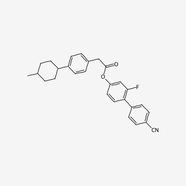 CC1CCC(c2ccc(CC(=O)Oc3ccc(-c4ccc(C#N)cc4)c(F)c3)cc2)CC1